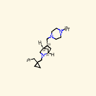 CC(C)CC1(CN2C[C@H]3C[C@@H]2C[C@@H]3CN2CCN(C(C)C)CC2)CC1